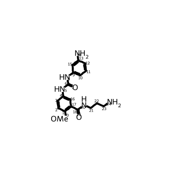 COc1ccc(NC(=O)Nc2cccc(N)c2)cc1C(=O)NCCCN